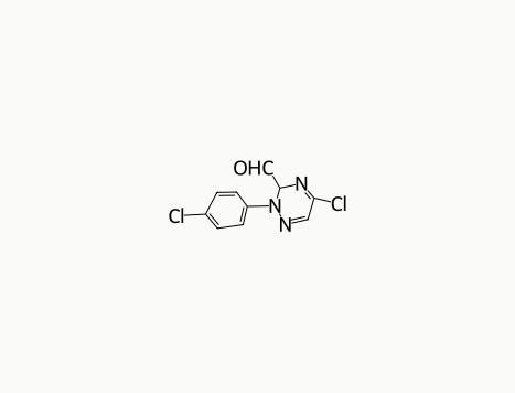 O=CC1N=C(Cl)C=NN1c1ccc(Cl)cc1